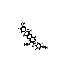 Oc1ccc(Cc2cc3c(O)c(Cc4ccc(O)cc4)ccc3cc2O)cc1